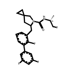 C[C@H](CF)NC(=O)N1CC2(CC2)CC1Cc1cccc(-c2cc(F)cc(F)c2)c1F